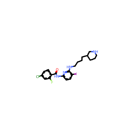 O=C(Nc1ccc(I)c(NCCCCC2CCCNC2)n1)c1ccc(Cl)cc1F